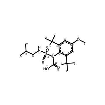 COc1cc(C(C)(C)C)c(N(C(=O)O)S(=O)(=O)NCC(C)C)c(C(C)(C)C)c1